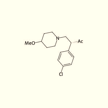 COC1CCN(C[C@H](C(C)=O)c2ccc(Cl)cc2)CC1